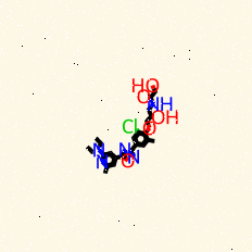 CCN(CC)c1cc(-c2nc(-c3cc(C)c(OC[C@@H](O)CNC(=O)CO)c(Cl)c3)no2)cc(C)n1